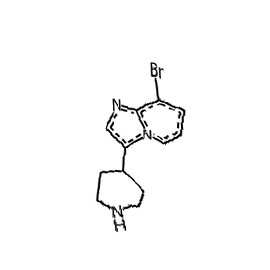 Brc1cccn2c(C3CCNCC3)cnc12